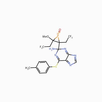 COC1(CC(F)(F)F)[PH](=O)C1(CC(F)(F)F)C1(N)N=C2N=CN=C2C(Sc2ccc(C)cc2)=N1